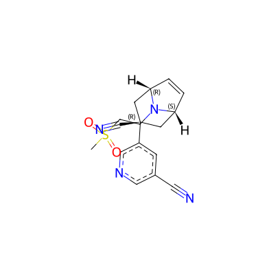 CS(=O)(=O)CCN1[C@@H]2C=C[C@H]1C[C@@](C#N)(c1cncc(C#N)c1)C2